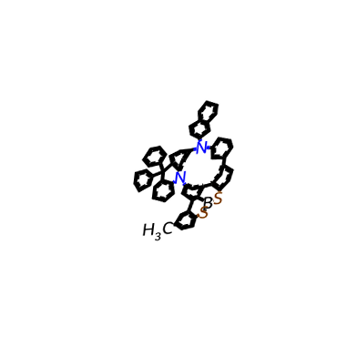 Cc1ccc2c(c1)-c1cc3cc4c1B(S2)Sc1ccc(cc1-4)-c1cccc(c1)N(c1ccc2ccccc2c1)c1ccc2c(c1)N3c1ccccc1C2(c1ccccc1)c1ccccc1